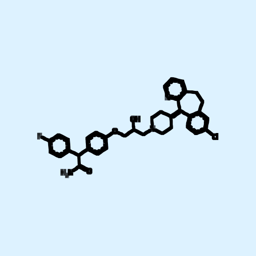 NC(=O)C(c1ccc(F)cc1)c1ccc(OCC(O)CN2CCC(=C3c4ccc(Cl)cc4CCc4cccnc43)CC2)cc1